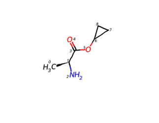 C[C@H](N)C(=O)OC1CC1